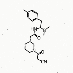 CB(C)C(Cc1ccc(C)cc1)NC(=O)CC1CCCN(C(=O)CC#N)C1